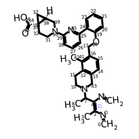 C=N/C(C)=C(\N=C)C(C)N1CCc2c(ccc(COc3ccccc3-c3cccc(N4CC[C@@]5(C(=O)O)C[C@H]5C4)n3)c2C)C1